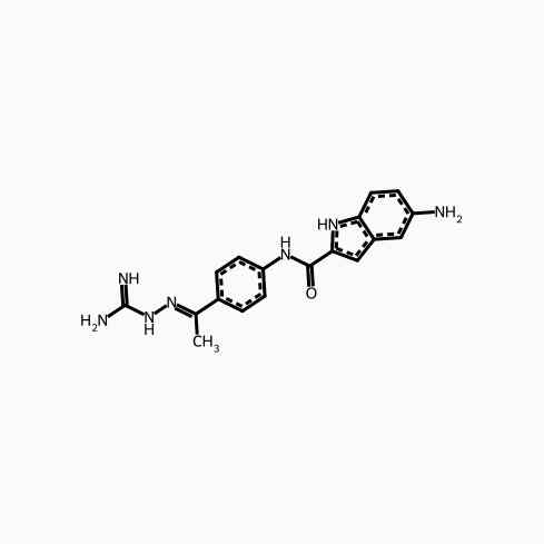 C/C(=N\NC(=N)N)c1ccc(NC(=O)c2cc3cc(N)ccc3[nH]2)cc1